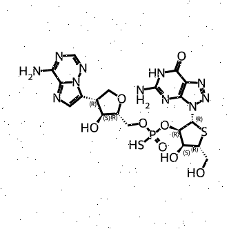 Nc1nc2c(nnn2[C@@H]2S[C@H](CO)[C@@H](O)[C@H]2OP(=O)(S)OC[C@H]2OC[C@@H](c3cnc4c(N)ncnn34)[C@@H]2O)c(=O)[nH]1